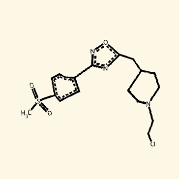 CS(=O)(=O)c1ccc(-c2noc(CC3CCN(CCCl)CC3)n2)cc1